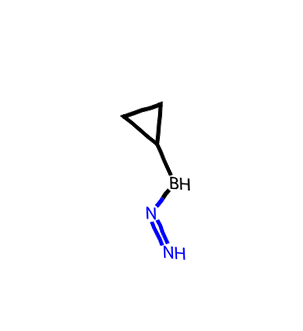 N=NBC1CC1